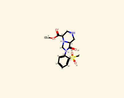 CC(C)(C)OC(=O)C1CNCC2C(=O)N(c3ccccc3S(C)(=O)=O)CN12